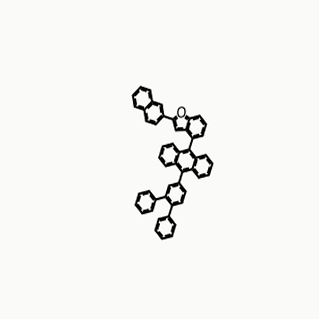 c1ccc(-c2ccc(-c3c4ccccc4c(-c4cccc5oc(-c6ccc7ccccc7c6)cc45)c4ccccc34)cc2-c2ccccc2)cc1